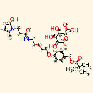 CC(C)(C)C(=O)OCc1ccc(OCCOCCNC(=O)CCN2C(=O)C=CC2O)cc1O[C@@H]1O[C@H](C(=O)O)[C@@H](O)[C@H](O)[C@H]1O